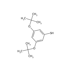 CC(C)(C)Oc1cc(S)cc(OC(C)(C)C)c1